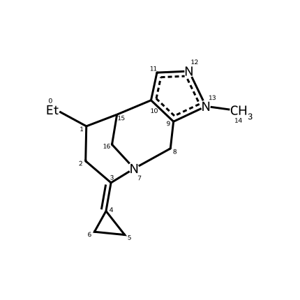 CCC1CC(=C2CC2)N2Cc3c(cnn3C)C1C2